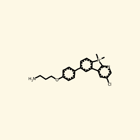 C[N+]1(C)c2ccc(-c3ccc(OCCCN)cc3)cc2-c2cc(Cl)cnc21